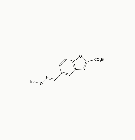 CCON=Cc1ccc2oc(C(=O)OCC)cc2c1